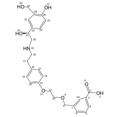 O=C(O)c1cccc(COCCOc2ccc(CCNC[C@@H](O)c3ccc(O)c(CO)c3)cc2)c1